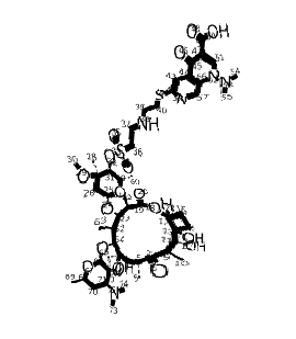 CO[C@]1(C)C[C@@H](C)C(=O)[C@H](C)[C@@H](O)[C@@]2(O)CC[C@H]2OC(=O)[C@H](C)[C@@H](O[C@H]2C[C@@](C)(OC)[C@@H](OS(=O)(=O)CCNCCSc3cc4c(=O)c(C(=O)O)cn(N(C)C)c4cn3)[C@H](C)O2)[C@H](C)[C@H]1O[C@@H]1O[C@H](C)C[C@H](N(C)C)[C@H]1O